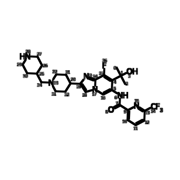 CC(C)(O)c1c(NC(=O)c2cccc(C(F)(F)F)n2)cn2cc(C3CCN(CC4CCNCC4)CC3)nc2c1F